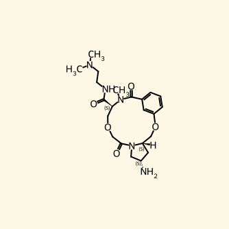 CN(C)CCNC(=O)[C@@H]1COCC(=O)N2C[C@@H](N)C[C@H]2COc2cccc(c2)C(=O)N1C